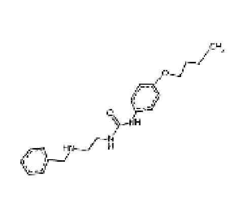 CCCCOc1ccc(NC(=O)NCCNCc2ccccc2)cc1